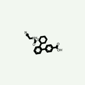 N#CCNC(=O)[C@@H]1CCCCC1c1ccccc1-c1ccc(C(=O)O)cc1